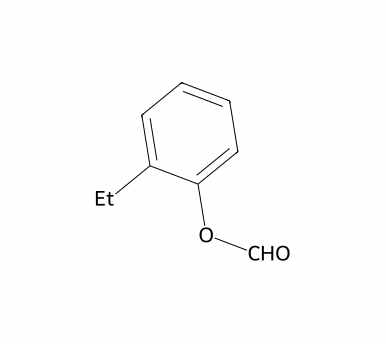 CCc1ccccc1OC=O